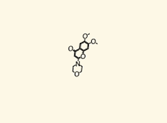 COc1cc2oc(N3CCOCC3)cc(=O)c2cc1OC